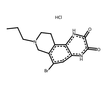 CCCN1CCc2c(c(Br)cc3[nH]c(=O)c(=O)[nH]c23)C1.Cl